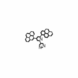 C1=CC2=CC=C3CC=CC4=C3C2C(=C1)C=C4c1cc(-c2cncnc2)nc(-c2ccc3c4c5c(ccc24)C=CCC5=CC3)c1